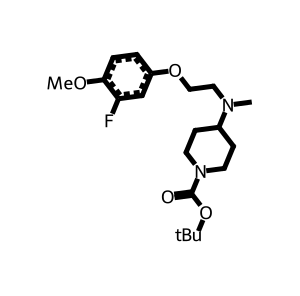 COc1ccc(OCCN(C)C2CCN(C(=O)OC(C)(C)C)CC2)cc1F